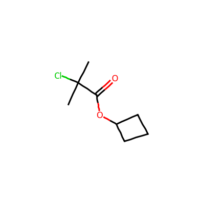 CC(C)(Cl)C(=O)OC1CCC1